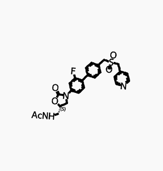 CC(=O)NC[C@H]1CN(c2ccc(-c3ccc(CS(=O)(=O)Cc4ccncc4)cc3)c(F)c2)C(=O)O1